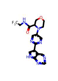 O=C(NCC(F)(F)F)C1COCCN1c1cnc(-c2c[nH]c3ncncc23)nc1